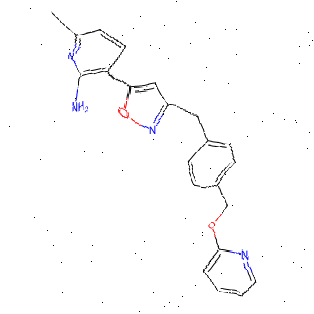 Cc1ccc(-c2cc(Cc3ccc(COc4ccccn4)cc3)no2)c(N)n1